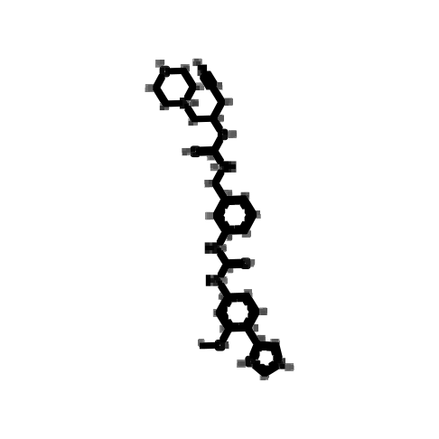 COc1cc(NC(=O)Nc2cccc(CNC(=O)OC(CC#N)CN3CCOCC3)c2)ccc1-c1cnco1